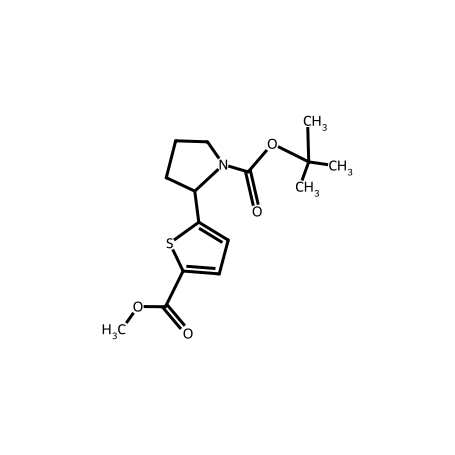 COC(=O)c1ccc(C2CCCN2C(=O)OC(C)(C)C)s1